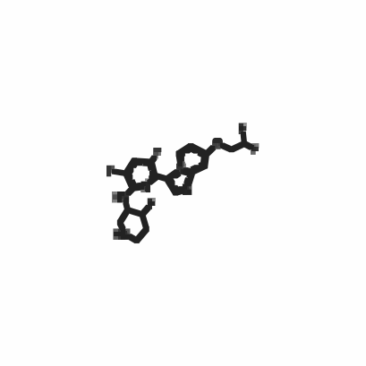 Fc1cc(F)c(-c2cnc3cc(OCC(F)F)ccn23)nc1NC1CNCCC1F